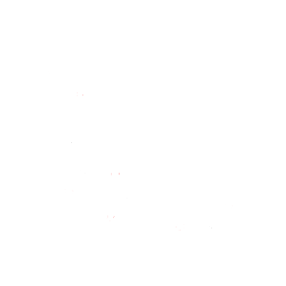 C=CC(=O)OCC(C)(C)C(=O)OC(=O)C(C)(C)COC(=O)C=C